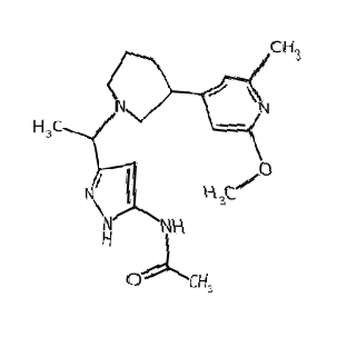 COc1cc(C2CCCN(C(C)c3cc(NC(C)=O)[nH]n3)C2)cc(C)n1